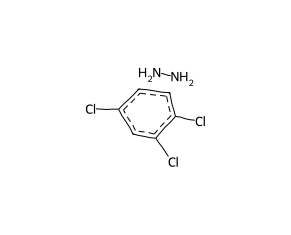 Clc1ccc(Cl)c(Cl)c1.NN